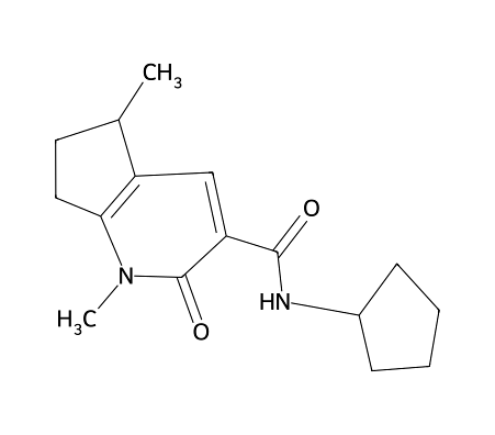 CC1CCc2c1cc(C(=O)NC1CCCC1)c(=O)n2C